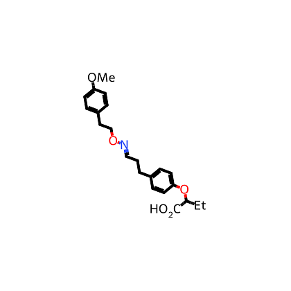 CCC(Oc1ccc(CCC=NOCCc2ccc(OC)cc2)cc1)C(=O)O